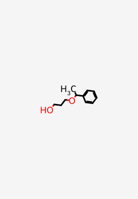 CC(OCCCO)c1ccccc1